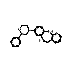 c1ccc(C2CN(c3ccc4c(c3)NCc3cccnc3N4)CCO2)cc1